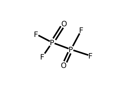 O=P(F)(F)P(=O)(F)F